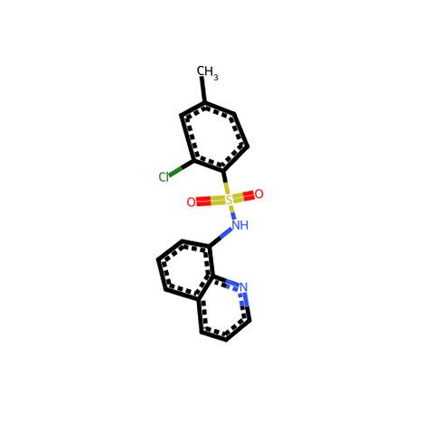 Cc1ccc(S(=O)(=O)Nc2cccc3cccnc23)c(Cl)c1